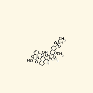 CCNS(=O)(=O)c1ccc(CN(C(=O)OC)C(=O)[C@H](C)Nc2ccc(N(C(=O)C(=O)O)c3ccccc3C(=O)O)c3ccccc23)cc1